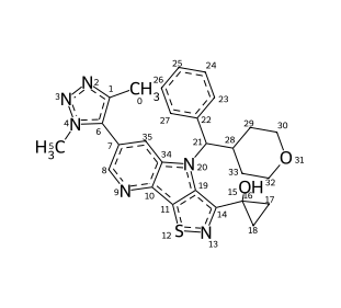 Cc1nnn(C)c1-c1cnc2c3snc(C4(O)CC4)c3n(C(c3ccccc3)C3CCOCC3)c2c1